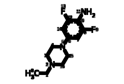 CCN1CCN(c2cc(F)c(N)c(F)c2)CC1